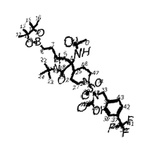 CC(=O)NC(CCCCB1OC(C)(C)C(C)(C)O1)(C(=O)NC(C)(C)C)C1CCN(S(=O)(=O)N(Cc2ccc(C(F)(F)F)cc2)C(=O)O)CC1